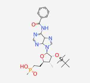 C[C@H]1[C@@H](O[Si](C)(C)C(C)(C)C)[C@H](N2C=NC3C(NC(=O)c4ccccc4)=NC=NC32)O[C@@H]1CCP(C)(=O)O